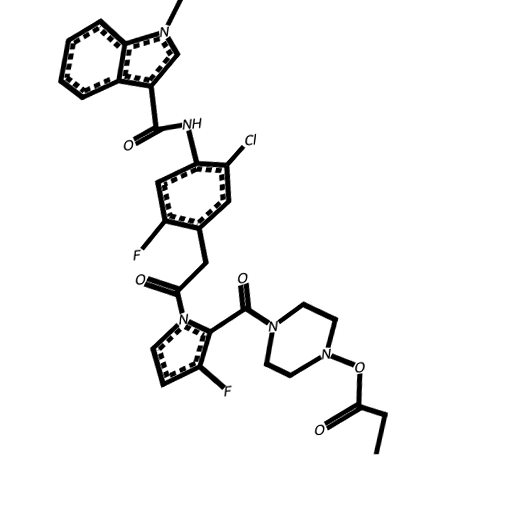 CCC(=O)ON1CCN(C(=O)c2c(F)ccn2C(=O)Cc2cc(Cl)c(NC(=O)c3cn(C)c4ccccc34)cc2F)CC1